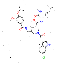 CNC(=O)[C@H](CCCC(C)C)NC(=O)C1CN(C(=O)Cc2c[nH]c3cc(Cl)ccc23)CC2CN(C(=O)c3ccc(OC(C)C)c(OC)c3)CC21